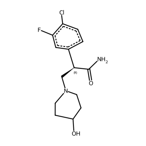 NC(=O)[C@@H](CN1CCC(O)CC1)c1ccc(Cl)c(F)c1